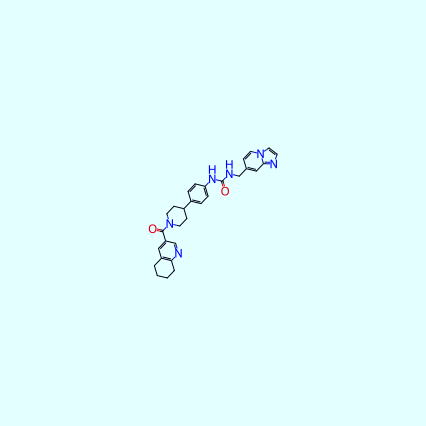 O=C(NCc1ccn2ccnc2c1)Nc1ccc(C2CCN(C(=O)c3cnc4c(c3)CCCC4)CC2)cc1